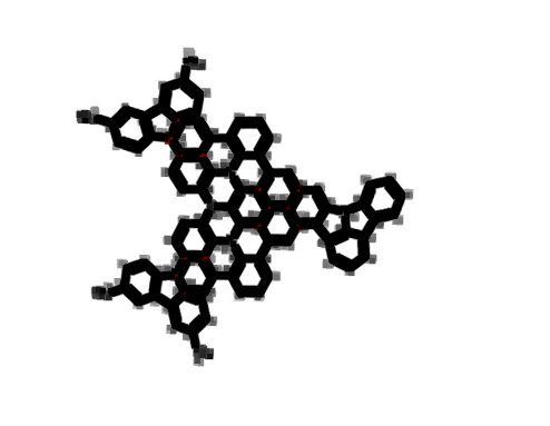 CC(C)(C)c1ccc2c(c1)c1cc(C(C)(C)C)ccc1n2-c1ccc2c(c1)N(c1c(-c3ccccc3)cccc1-c1ccccc1)c1cc(-c3ccc4c(c3)c3cccc5c6ccccc6n4c53)cc3c1B2c1ccc(-n2c4ccc(C(C)(C)C)cc4c4cc(C(C)(C)C)ccc42)cc1N3c1c(-c2ccccc2)cccc1-c1ccccc1